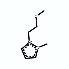 COCC[n+]1cccn1C